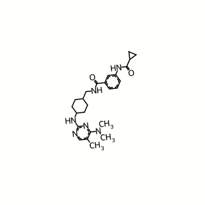 Cc1cnc(NC2CCC(CNC(=O)c3cccc(NC(=O)C4CC4)c3)CC2)nc1N(C)C